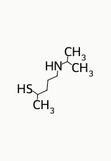 CC(S)CCCNC(C)C